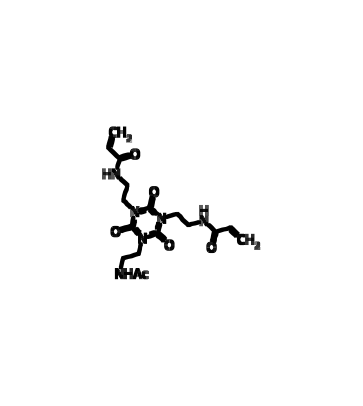 C=CC(=O)NCCn1c(=O)n(CCNC(C)=O)c(=O)n(CCNC(=O)C=C)c1=O